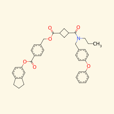 CCCN(Cc1ccc(Oc2ccccc2)cc1)C(=O)C1CC(C(=O)OCc2ccc(C(=O)Oc3ccc4c(c3)CCC4)cc2)C1